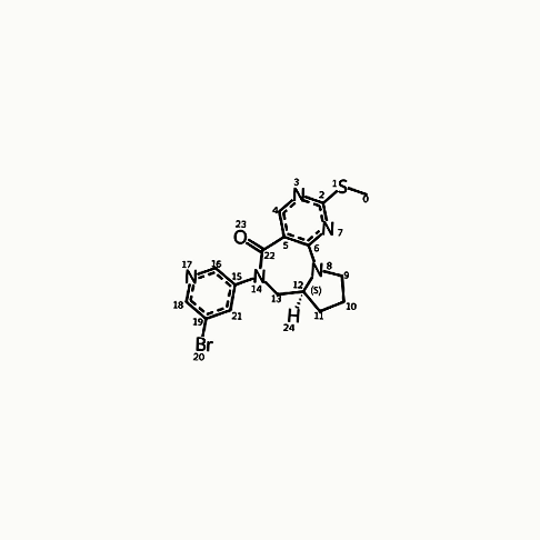 CSc1ncc2c(n1)N1CCC[C@H]1CN(c1cncc(Br)c1)C2=O